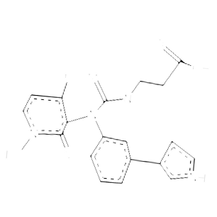 Cn1ccc(O)c(N(C(=O)NCCC(=O)O)c2cccc(-c3cc[nH]c3)c2)c1=O